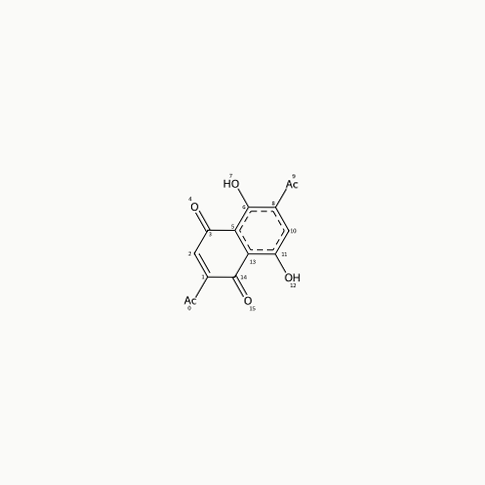 CC(=O)C1=CC(=O)c2c(O)c(C(C)=O)cc(O)c2C1=O